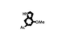 COc1cc(C(C)=O)cc2[nH]ccc12